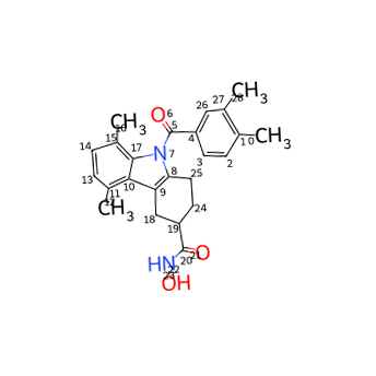 Cc1ccc(C(=O)n2c3c(c4c(C)ccc(C)c42)CC(C(=O)NO)CC3)cc1C